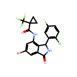 O=C1NC(c2cc(F)ccc2Cl)c2c(NC(=O)C3(C(F)(F)F)CC3)cc(Br)cc21